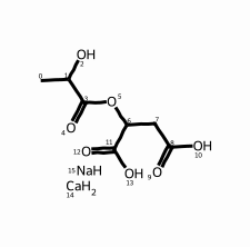 CC(O)C(=O)OC(CC(=O)O)C(=O)O.[CaH2].[NaH]